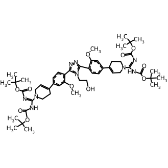 COc1cc(C2=CCN(/C(=N\C(=O)OC(C)(C)C)NC(=O)OC(C)(C)C)CC2)ccc1-c1nnc(-c2ccc(C3=CCN(/C(=N\C(=O)OC(C)(C)C)NC(=O)OC(C)(C)C)CC3)cc2OC)n1CCO